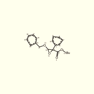 CC(C)(C)OC(=O)C1(c2ccccc2)OC1OCc1ccccc1